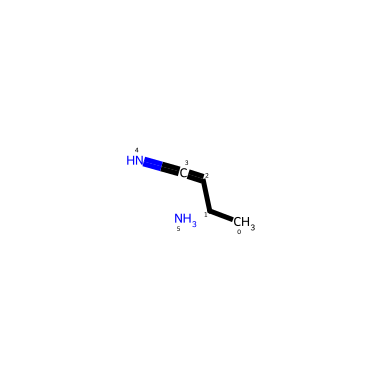 CCC=C=N.N